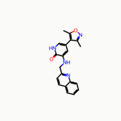 Cc1noc(C)c1-c1c[nH]c(=O)c(NCc2ccc3ccccc3n2)c1